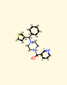 O=C(c1cccnc1)N1CCN(C(c2ccccc2)c2ccsc2)CC1